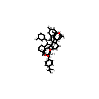 CC1CCCC(C2N(C3CCCC(C)C3)C(C3CCCC(C)C3)C3(C4CCCC(C)C4)C4(C5CCCC(C)C5)C=CC(CNC(=O)c5ccc(C(C)(C)C)cc5)(O4)C23C2CCCC(C)C2)C1